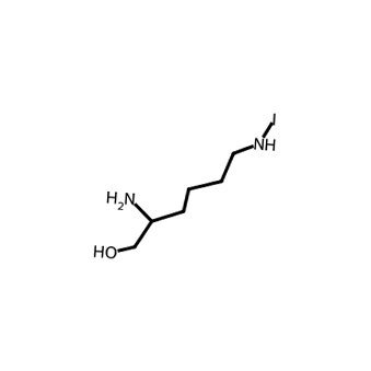 NC(CO)CCCCNI